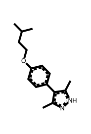 Cc1n[nH]c(C)c1-c1ccc(OCCC(C)C)cc1